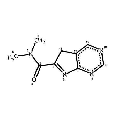 CN(C)C(=O)C1=Nc2ncncc2C1